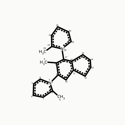 Cc1c(-[n+]2ccccc2C)cc2ccccc2c1-[n+]1ccccc1C